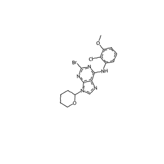 COc1cccc(Nc2nc(Br)nc3c2ncn3C2CCCCO2)c1Cl